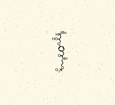 CC(C)(C)NCC(O)COc1ccc(CC(=O)NCCCO[N+](=O)[O-])cc1